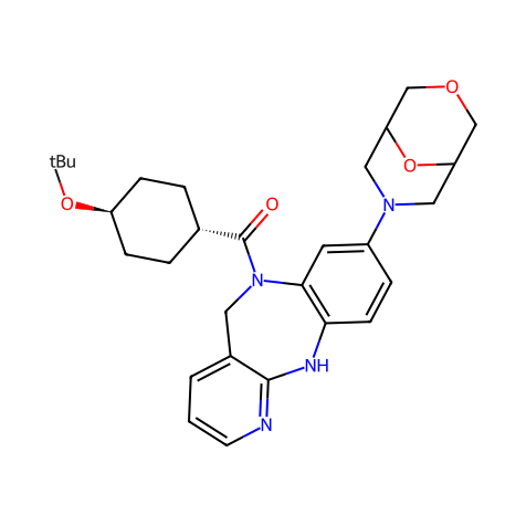 CC(C)(C)O[C@H]1CC[C@H](C(=O)N2Cc3cccnc3Nc3ccc(N4CC5COCC(C4)O5)cc32)CC1